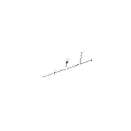 CCCCCCCCOC(=O)CCCCCCCN(CCCCCCCC(=O)OC(CCCCCCCC)CCCCCCCC)CCCN[S+](C)[O-]